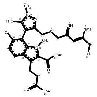 CN/C(=C\C(=N)CSCc1nn(C)c(C)c1-c1c(Cl)ccc2c(CCC(=O)OC)c(C(=O)OC)n(C)c12)CCl